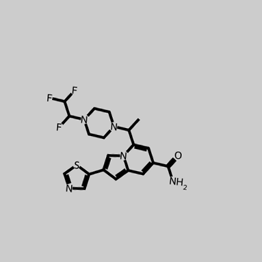 CC(c1cc(C(N)=O)cc2cc(-c3cncs3)cn12)N1CCN(C(F)C(F)F)CC1